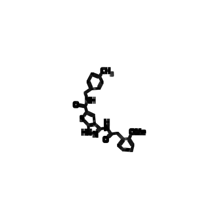 COc1ccccc1CC(=O)Nc1n[nH]c2sc(C(=O)NCc3ccc(C)cc3)cc12